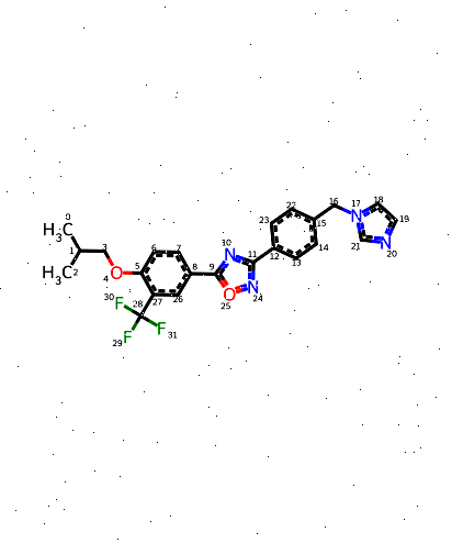 CC(C)COc1ccc(-c2nc(-c3ccc(Cn4ccnc4)cc3)no2)cc1C(F)(F)F